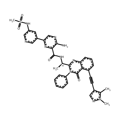 Cc1c(C#Cc2cccc3nc([C@@H](C)NC(=O)c4nc(-c5cncc(NS(C)(=O)=O)c5)cnc4N)n(-c4ccccc4)c(=O)c23)cnn1C